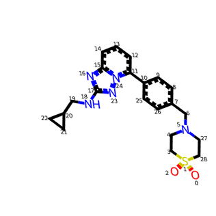 O=S1(=O)CCN(Cc2ccc(-c3cccc4nc(NCC5CC5)nn34)cc2)CC1